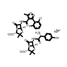 CC1(C)S[C@@H]2[C@H](NC(=O)[C@H](N)c3ccc(O)cc3)C(=O)N2[C@H]1C(=O)[O-].Cc1onc(-c2c(F)cccc2Cl)c1C(=O)N[C@@H]1C(=O)N2[C@@H]1SC(C)(C)[C@@H]2C(=O)[O-].[Na+].[Na+]